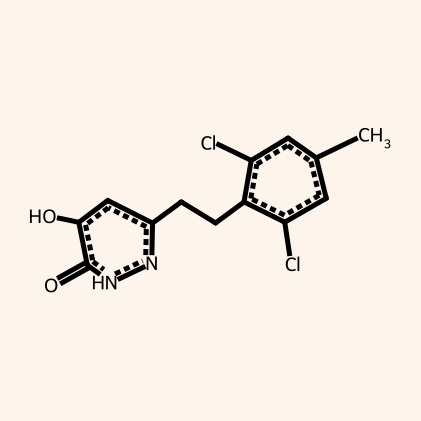 Cc1cc(Cl)c(CCc2cc(O)c(=O)[nH]n2)c(Cl)c1